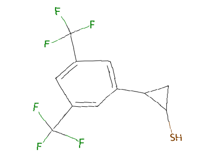 FC(F)(F)c1cc(C2CC2S)cc(C(F)(F)F)c1